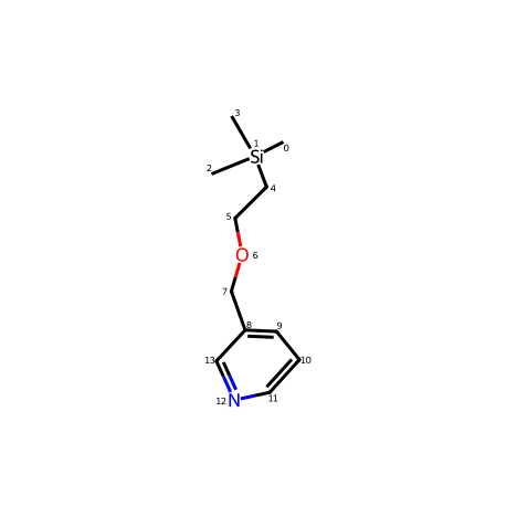 C[Si](C)(C)CCOCc1cccnc1